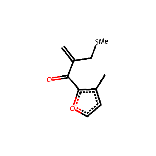 C=C(CSC)C(=O)c1occc1C